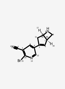 N#Cc1cc(C2=C[C@@H]3CN[C@@H]3C2)cnc1Br